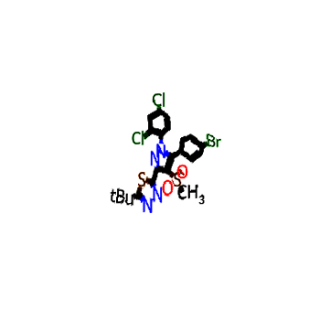 CC(C)(C)c1nnc(-c2nn(-c3ccc(Cl)cc3Cl)c(C3C=CC(Br)=CC3)c2S(C)(=O)=O)s1